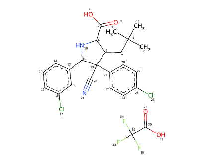 CC(C)(C)CC1C(C(=O)O)NC(c2cccc(Cl)c2)C1(C#N)c1ccc(Cl)cc1.O=C(O)C(F)(F)F